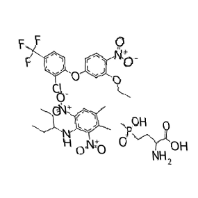 CCC(CC)Nc1c([N+](=O)[O-])cc(C)c(C)c1[N+](=O)[O-].CCOc1cc(Oc2ccc(C(F)(F)F)cc2Cl)ccc1[N+](=O)[O-].CP(=O)(O)CCC(N)C(=O)O